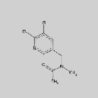 CC(=O)N(C)Cc1cnc(Cl)c(Cl)c1